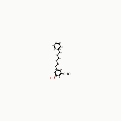 O=Cc1cc(O)cc(CCCCCCc2ccccc2)c1